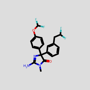 CN1C(=O)C(c2ccc(OC(F)F)cc2)(c2cccc(CC(F)F)c2)N=C1N